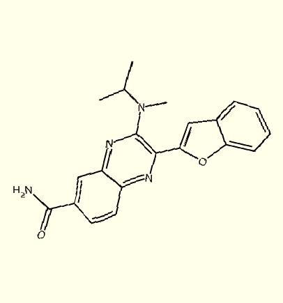 CC(C)N(C)c1nc2cc(C(N)=O)ccc2nc1-c1cc2ccccc2o1